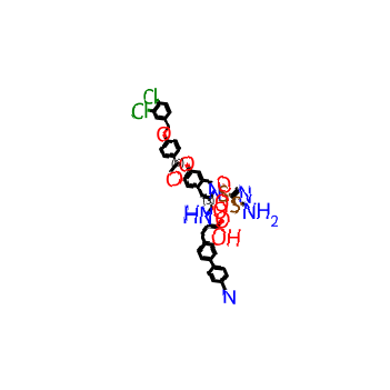 N#Cc1ccc(-c2ccc(CC(NC(=O)[C@@H]3Cc4cc5c(cc4CN3S(=O)(=O)c3cnc(N)s3)O[C@@H](c3ccc(OCc4ccc(Cl)c(Cl)c4)cc3)CO5)C(=O)O)cc2)cc1